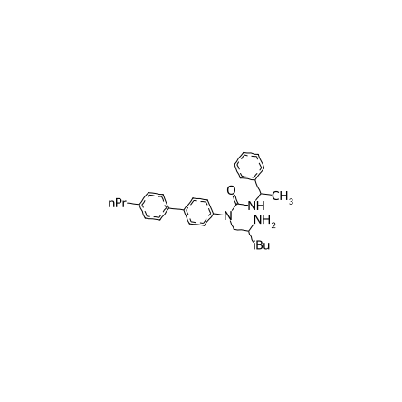 CCCc1ccc(-c2ccc(N(CC(N)C(C)CC)C(=O)NC(C)c3ccccc3)cc2)cc1